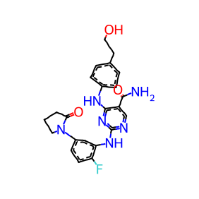 NC(=O)c1cnc(Nc2cc(N3CCCC3=O)ccc2F)nc1Nc1ccc(CCO)cc1